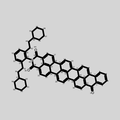 O=C1c2ccccc2-c2ccc3c4ccc5c6ccc7c8c(ccc(c9ccc(c%10ccc1c2c%103)c4c95)c86)C(=O)N(c1c(CCC2CCCCC2)cccc1CCC1CCCCC1)C7=O